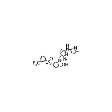 Cc1ccc(Nc2ncc3c(n2)N(C)C(O)N(c2cc(NC(=O)c4cccc(C(F)(F)F)c4)ccc2C)C3)cn1